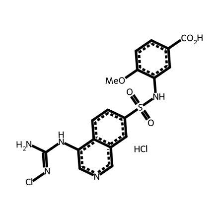 COc1ccc(C(=O)O)cc1NS(=O)(=O)c1ccc2c(NC(N)=NCl)cncc2c1.Cl